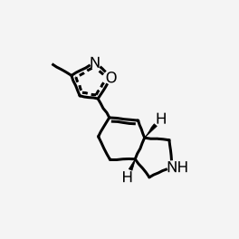 Cc1cc(C2=C[C@@H]3CNC[C@@H]3CC2)on1